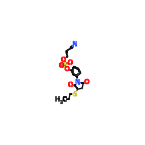 CCCSC1CC(=O)N(c2cccc(OS(=O)(=O)O/C=C/C#N)c2)C1=O